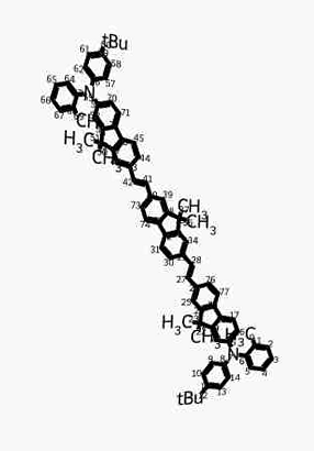 Cc1ccccc1N(c1ccc(C(C)(C)C)cc1)c1ccc2c(c1)C(C)(C)c1cc(/C=C/c3ccc4c(c3)C(C)(C)c3cc(/C=C/c5ccc6c(c5)C(C)(C)c5cc(N(c7ccc(C(C)(C)C)cc7)c7ccccc7C)ccc5-6)ccc3-4)ccc1-2